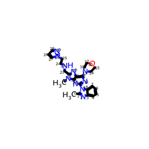 Cc1nc2ccccc2n1-c1nc(N2CCOCC2)c2nc(CNCCn3cccn3)n(C)c2n1